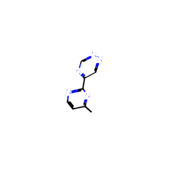 Cc1ccnc(-c2cnncn2)n1